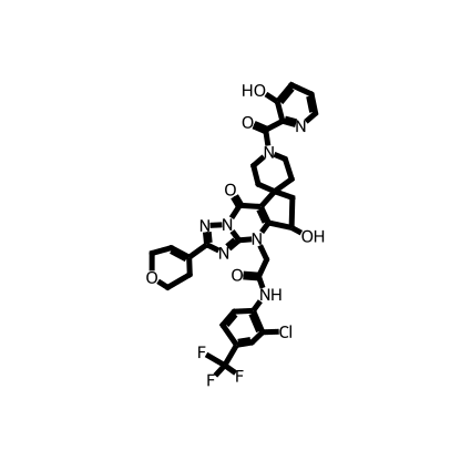 O=C(Cn1c2c(c(=O)n3nc(C4=CCOCC4)nc13)C1(CCN(C(=O)c3ncccc3O)CC1)CC2O)Nc1ccc(C(F)(F)F)cc1Cl